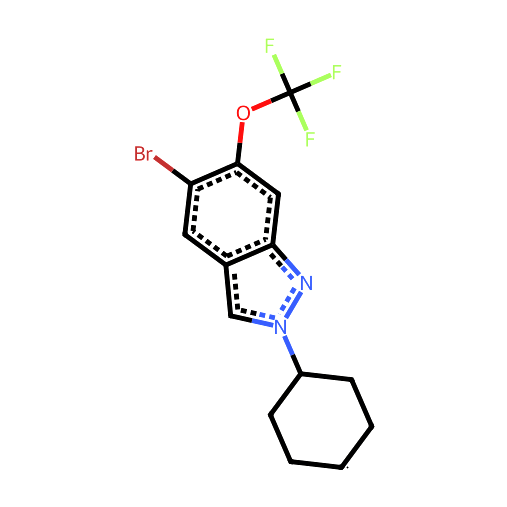 FC(F)(F)Oc1cc2nn(C3CC[CH]CC3)cc2cc1Br